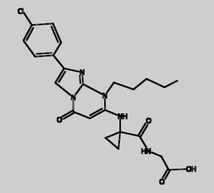 CCCCCn1c(NC2(C(=O)NCC(=O)O)CC2)cc(=O)n2cc(-c3ccc(Cl)cc3)nc12